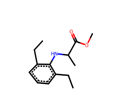 CCc1cccc(CC)c1NC(C)C(=O)OC